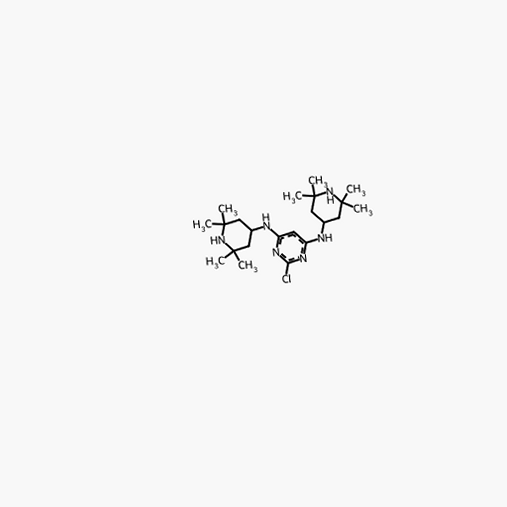 CC1(C)CC(Nc2cc(NC3CC(C)(C)NC(C)(C)C3)nc(Cl)n2)CC(C)(C)N1